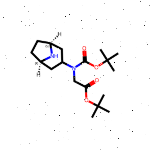 CC(C)(C)OC(=O)CN(C(=O)OC(C)(C)C)C1C[C@H]2CC[C@@H](C1)N2